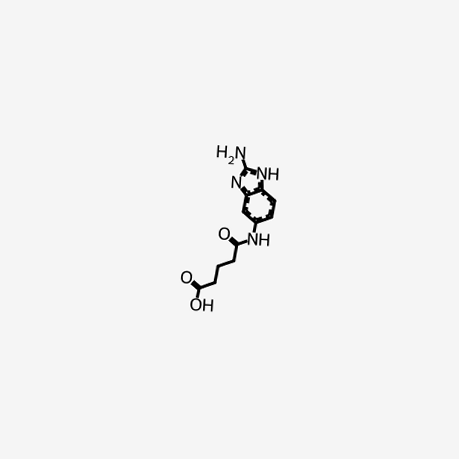 Nc1nc2cc(NC(=O)CCCC(=O)O)ccc2[nH]1